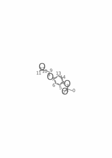 CC(=O)Oc1ccc(OCC2CO2)cc1